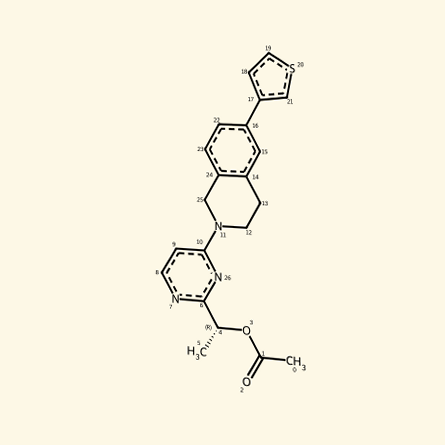 CC(=O)O[C@H](C)c1nccc(N2CCc3cc(-c4ccsc4)ccc3C2)n1